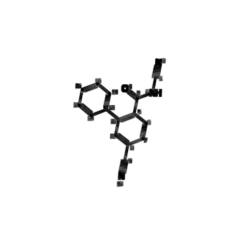 N#CNC(=O)c1ccc(C#N)cc1-c1ccccc1